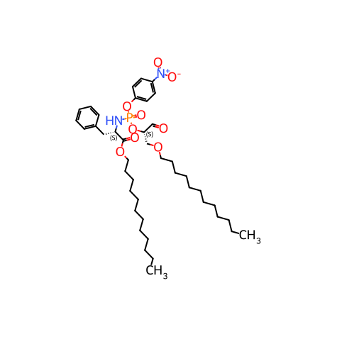 CCCCCCCCCCCCOC[C@@H](C=O)OP(=O)(N[C@@H](Cc1ccccc1)C(=O)OCCCCCCCCCCCC)Oc1ccc([N+](=O)[O-])cc1